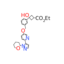 CCOC(=O)C1CC(O)(c2cccc(COc3ccc(-c4ccnn4C4CCCCO4)nc3)c2)C1